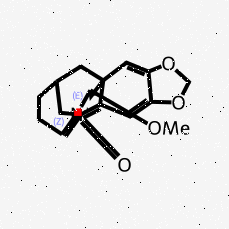 CO/C1=C/C23C=C4OCOC4=CC2=C2CC(CC/C2=C/[N+]1=O)C3